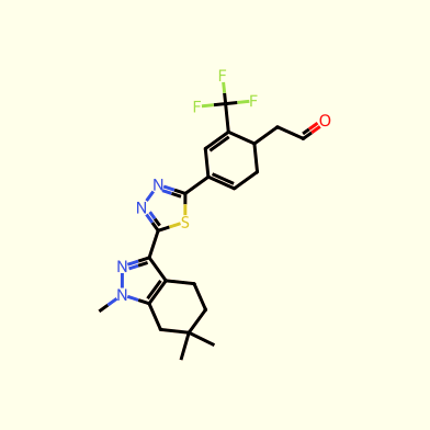 Cn1nc(-c2nnc(C3=CCC(CC=O)C(C(F)(F)F)=C3)s2)c2c1CC(C)(C)CC2